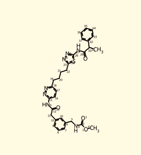 COC(=O)NCc1cccc(CC(=O)Nc2ccc(CCCCc3nnc(NC(=O)C(C)c4ccccc4)s3)nn2)c1